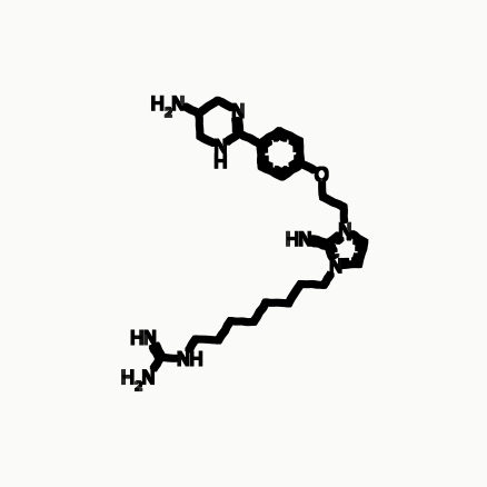 N=C(N)NCCCCCCCCn1ccn(CCOc2ccc(C3=NCC(N)CN3)cc2)c1=N